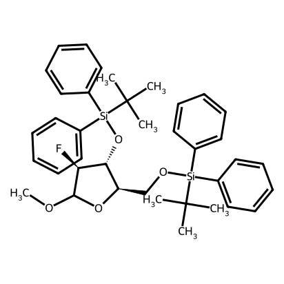 COC1O[C@H](CO[Si](c2ccccc2)(c2ccccc2)C(C)(C)C)[C@@H](O[Si](c2ccccc2)(c2ccccc2)C(C)(C)C)[C@@H]1F